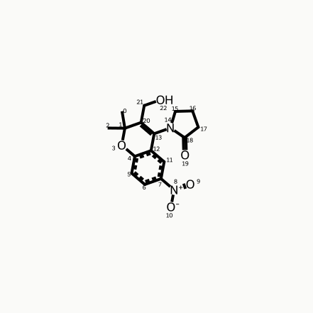 CC1(C)Oc2ccc([N+](=O)[O-])cc2C(N2CCCC2=O)=C1CO